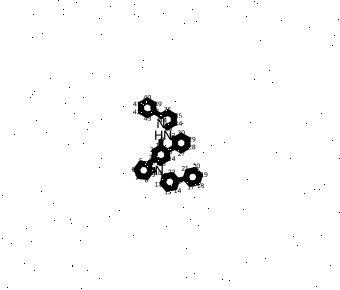 Cc1cc2c3ccccc3n(-c3cccc(-c4ccccc4)c3)c2cc1-c1ccccc1Nc1cccc(-c2ccccc2)n1